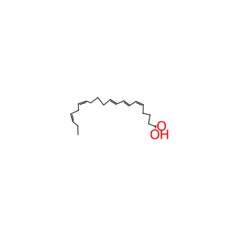 CC/C=C\C/C=C\CCC/C=C/C=C/C=C\CCCC(=O)O